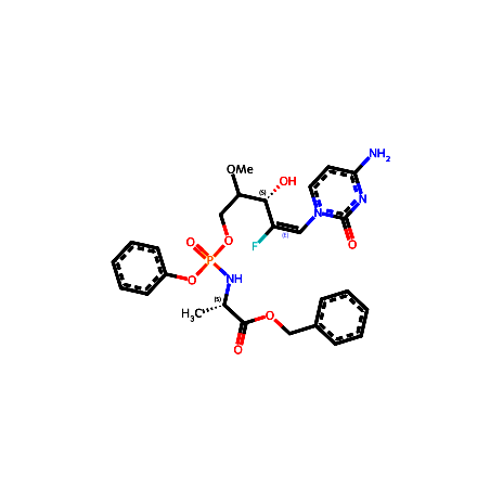 COC(COP(=O)(N[C@@H](C)C(=O)OCc1ccccc1)Oc1ccccc1)[C@H](O)/C(F)=C\n1ccc(N)nc1=O